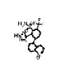 NS(=O)(=O)c1c(C(F)(F)F)ccc(-c2cccc3c2ccc[n+]3[O-])c1-c1nn[nH]n1